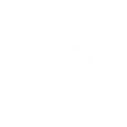 Cc1cccc(C(=O)N2CCc3c(c4ccccc4n3CC(=O)O)C2)c1Br